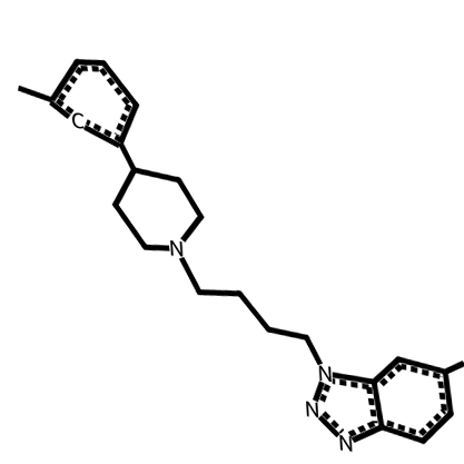 Cc1cccc(C2CCN(CCCCn3nnc4ccc(F)cc43)CC2)c1